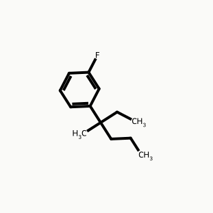 CCCC(C)(CC)c1cccc(F)c1